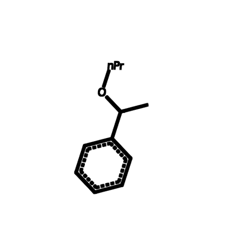 CCCO[C](C)c1ccccc1